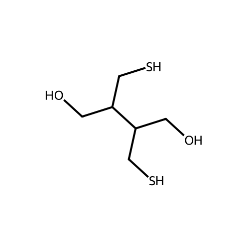 OCC(CS)C(CO)CS